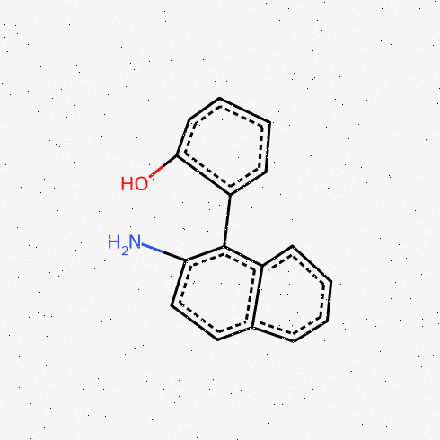 Nc1ccc2ccccc2c1-c1ccccc1O